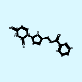 O=C(OC[C@H]1C=C[C@@H](n2ccc(=S)[nH]c2=O)O1)c1ccccc1